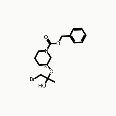 CC(O)(CBr)O[C@H]1CCCN(C(=O)OCc2ccccc2)C1